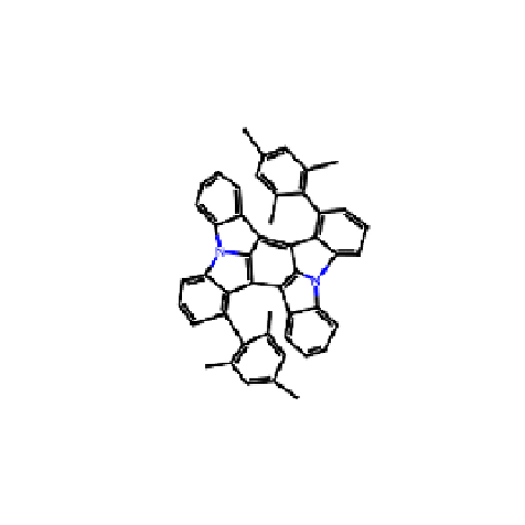 Cc1cc(C)c(-c2cccc3c2c2c4c5ccccc5n5c6cccc(-c7c(C)cc(C)cc7C)c6c(c6c7ccccc7n3c62)c45)c(C)c1